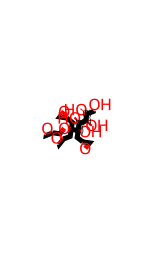 OC[C@@H](O)[C@@H](O)[C@H](O)[C@](O)(CC1CO1)C(CC1CO1)(CC1CO1)OCC1CO1